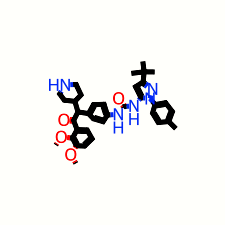 COc1cccc(C(=O)C(c2ccc(NC(=O)Nc3cc(C(C)(C)C)nn3-c3ccc(C)cc3)cc2)C2CCNCC2)c1OC